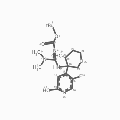 CN(C)C(=NC(=O)OC(C)(C)C)NC1(c2cc(O)ncc2F)COCC[C@H]1C=O